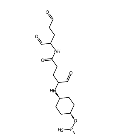 CP(S)O[C@H]1CC[C@@H](NC(C=O)CCC(=O)NC(C=O)CCC=O)CC1